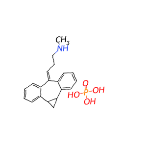 CNCCC=C1c2ccccc2C2CC2c2ccccc21.O=P(O)(O)O